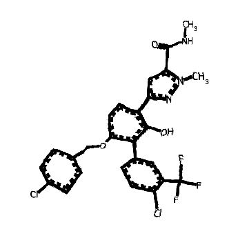 CNC(=O)c1cc(-c2ccc(OCc3ccc(Cl)cc3)c(-c3ccc(Cl)c(C(F)(F)F)c3)c2O)nn1C